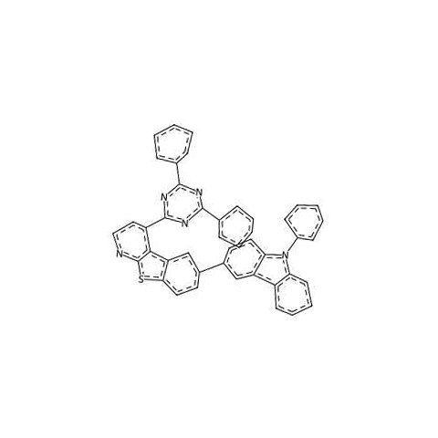 c1ccc(-c2nc(-c3ccccc3)nc(-c3ccnc4sc5ccc(-c6ccc7c(c6)c6ccccc6n7-c6ccccc6)cc5c34)n2)cc1